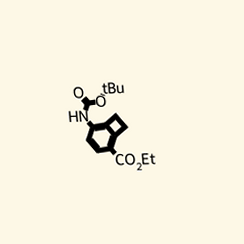 CCOC(=O)c1ccc(NC(=O)OC(C)(C)C)c2c1CC2